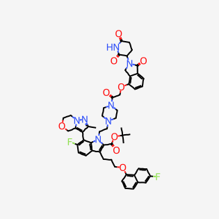 Cc1nn2c(c1-c1c(F)ccc3c(CCCOc4cccc5cc(F)ccc45)c(C(=O)OC(C)(C)C)n(CCN4CCN(C(=O)COc5cccc6c5CN(C5CCC(=O)NC5=O)C6=O)CC4)c13)COCC2